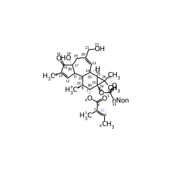 C/C=C(\C)C(=O)O[C@@H]1[C@@H](C)C2C3C=C(C)C(=O)[C@@]3(O)CC(CO)=C[C@H]2C2C(C)(C)[C@@]21OC(=O)CCCCCCCCC